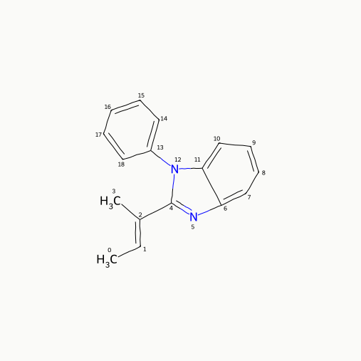 CC=C(C)c1nc2ccccc2n1-c1ccccc1